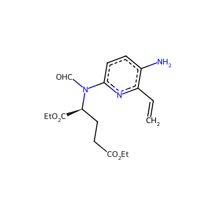 C=Cc1nc(N(C=O)[C@@H](CCC(=O)OCC)C(=O)OCC)ccc1N